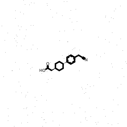 N#CCc1ccc([C@H]2CC[C@H](CC(=O)O)CC2)cc1